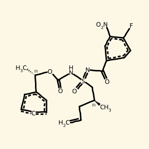 C=CC[C@H](C)CS(=O)(=NC(=O)c1ccc(F)c([N+](=O)[O-])c1)NC(=O)O[C@@H](C)c1ccccc1